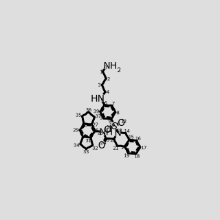 NCCCCNc1ccc(S(=O)(=O)N2Cc3ccccc3CC2C(=O)Nc2c3c(cc4c2CCC4)CCC3)cc1